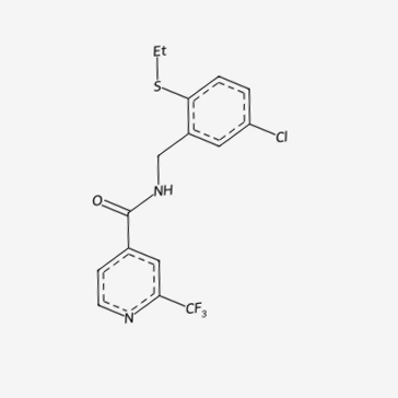 CCSc1ccc(Cl)cc1CNC(=O)c1ccnc(C(F)(F)F)c1